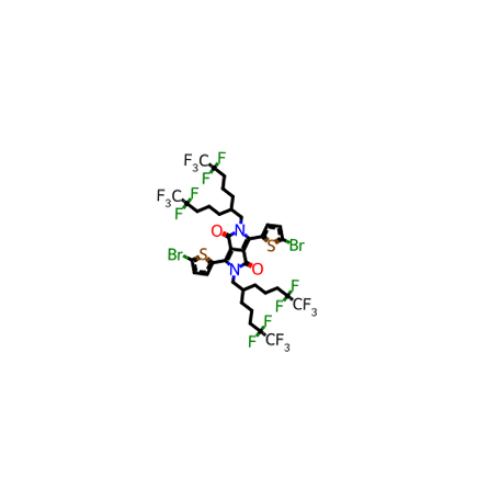 O=C1C2=C(c3ccc(Br)s3)N(CC(CCCC(F)(F)C(F)(F)F)CCCC(F)(F)C(F)(F)F)C(=O)C2=C(c2ccc(Br)s2)N1CC(CCCC(F)(F)C(F)(F)F)CCCC(F)(F)C(F)(F)F